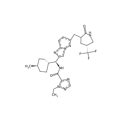 CCn1ncnc1C(=O)N[C@H](c1cn2nc(CC3C[C@@H](C(F)(F)F)CNC3=O)ccc2n1)[C@H]1CC[C@H](C)CC1